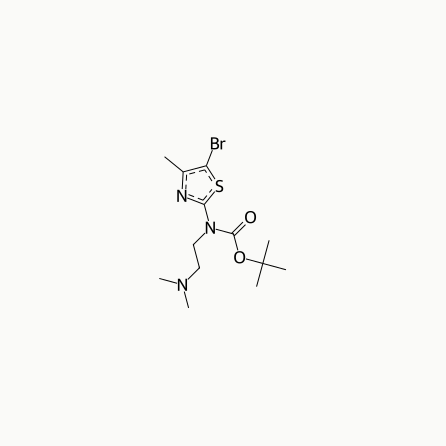 Cc1nc(N(CCN(C)C)C(=O)OC(C)(C)C)sc1Br